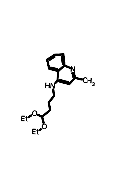 CCOC(CCCNc1cc(C)nc2ccccc12)OCC